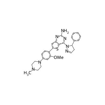 COc1cc(N2CCN(C)CC2)ccc1-c1cc2nc(N)nc(N3N=CCC3c3ccccc3)c2s1